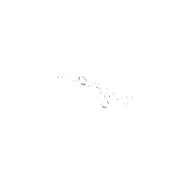 COC(=O)c1cccc(OC2CN=C(NC(=O)N3CC4(CCN(C(O)OC)C4)C4=CC(Cl)=CCC43)S2)c1